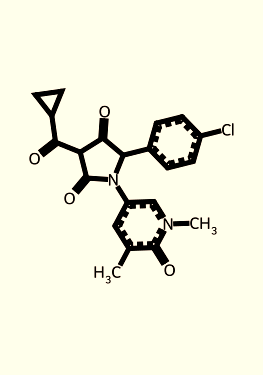 Cc1cc(N2C(=O)C(C(=O)C3CC3)C(=O)C2c2ccc(Cl)cc2)cn(C)c1=O